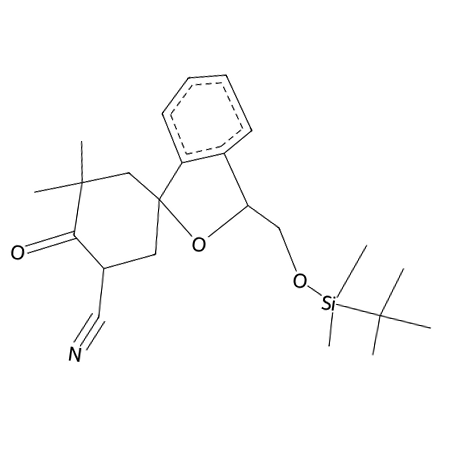 CC1(C)CC2(CC(C#N)C1=O)OC(CO[Si](C)(C)C(C)(C)C)c1ccccc12